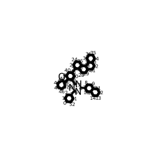 c1ccc(-c2nc(-c3ccc4ccccc4c3)nc(-c3cc(-c4cccc5c4ccc4ccc6ccccc6c45)cc4oc5ccccc5c34)n2)cc1